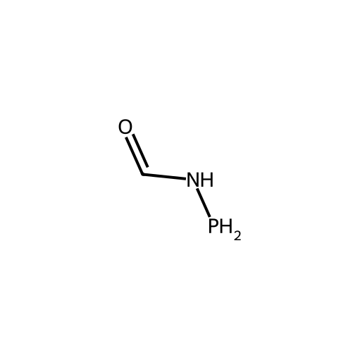 O=CNP